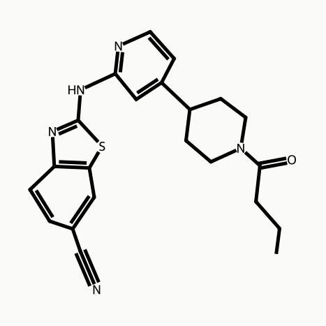 CCCC(=O)N1CCC(c2ccnc(Nc3nc4ccc(C#N)cc4s3)c2)CC1